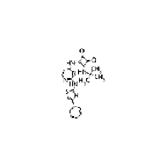 CC(C)(C)Nc1c(Nc2ccnc(Nc3nc(-c4ccccc4)cs3)n2)c(=O)c1=O